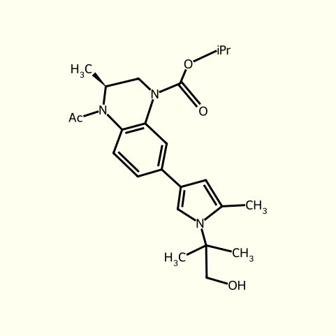 CC(=O)N1c2ccc(-c3cc(C)n(C(C)(C)CO)c3)cc2N(C(=O)OC(C)C)C[C@@H]1C